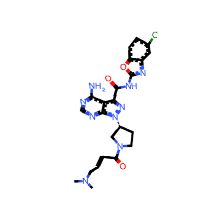 CN(C)C/C=C/C(=O)N1CC[C@@H](n2nc(C(=O)Nc3nc4cc(Cl)ccc4o3)c3c(N)ncnc32)C1